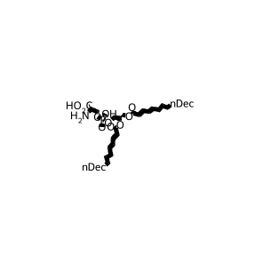 CCCCCCCCCCCCCC=CC=CC(=O)OC[C@H](COP(=O)(O)OC[C@H](N)C(=O)O)OC(=O)C=CC=CCCCCCCCCCCCCC